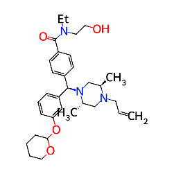 C=CCN1C[C@H](C)N([C@H](c2ccc(C(=O)N(CC)CCO)cc2)c2cccc(OC3CCCCO3)c2)C[C@H]1C